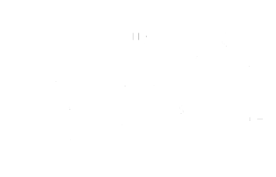 Cc1csc2c(C)c(C3CCC4(CCCCC4)CC3)sc12